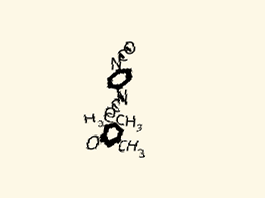 CC1=CC(=O)CC(C)(C)C1.O=C=NC1CCC(N=C=O)CC1